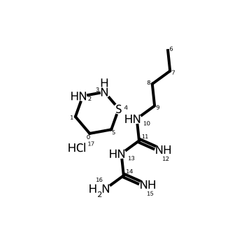 C1CNNSC1.CCCCNC(=N)NC(=N)N.Cl